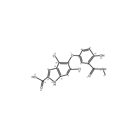 CNC(=O)c1cc(Oc2c(Cl)cc3[nH]c(C(=O)O)cc3c2Cl)ccc1O